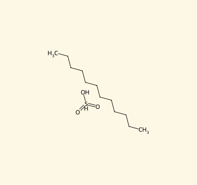 CCCCCCCCCCCC.O=[SH](=O)O